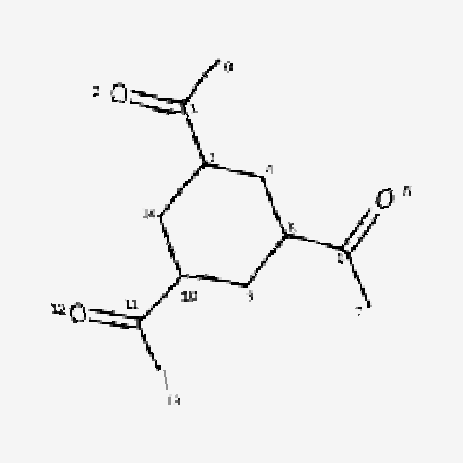 CC(=O)C1CC(C(C)=O)CC(C(=O)I)C1